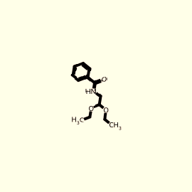 CCOC(CNC(=O)c1ccccc1)OCC